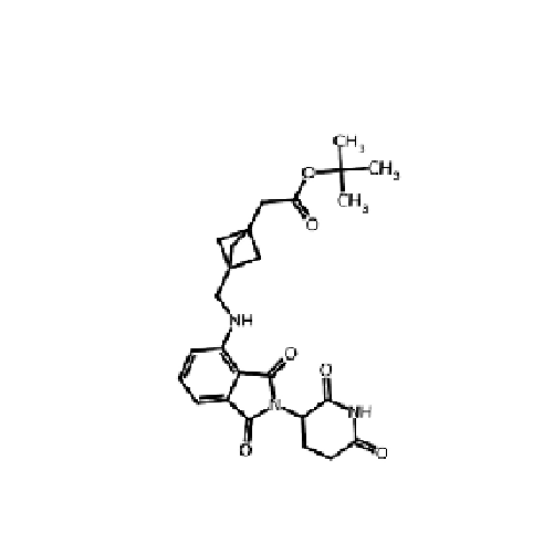 CC(C)(C)OC(=O)CC12CC(CNc3cccc4c3C(=O)N(C3CCC(=O)NC3=O)C4=O)(C1)C2